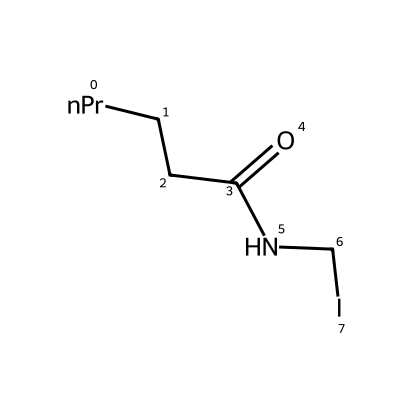 CCCCCC(=O)NCI